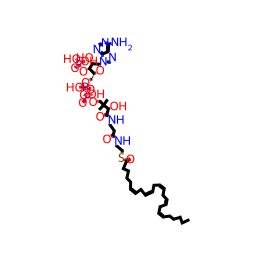 CCCCC/C=C\C/C=C\C/C=C\C/C=C\C/C=C\CCCCC(=O)SCCNC(=O)CCNC(=O)[C@H](O)C(C)(C)COP(=O)(O)OP(=O)(O)OC[C@H]1O[C@@H](n2cnc3c(N)ncnc32)[C@H](O)[C@@H]1OP(=O)(O)O